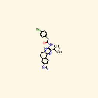 CCCCC(C)c1nc2c(nc1NC(=O)Cc1ccc(Br)cc1)CCc1cc(N)ccc1-2